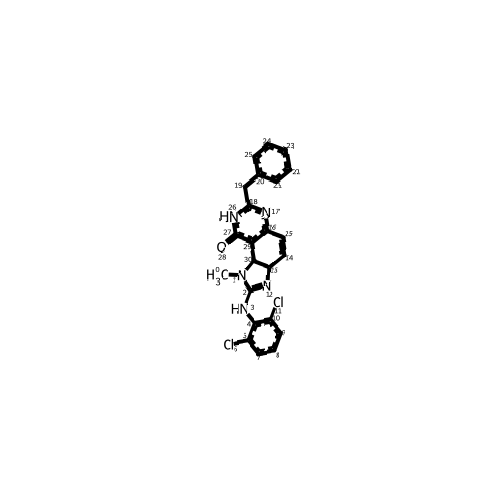 CN1C(Nc2c(Cl)cccc2Cl)=NC2C=Cc3nc(Cc4ccccc4)[nH]c(=O)c3C21